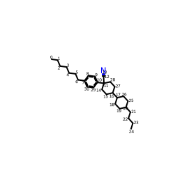 CCCCCCCc1ccc(C2(C#N)CCC(C3CCC(CCCC)CC3)CC2)cc1